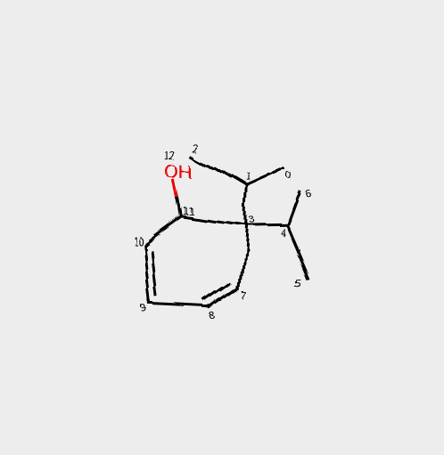 CC(C)C1(C(C)C)C=CC=CC1O